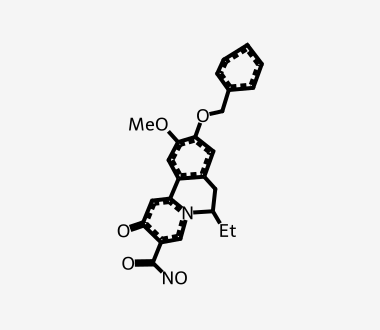 CCC1Cc2cc(OCc3ccccc3)c(OC)cc2-c2cc(=O)c(C(=O)N=O)cn21